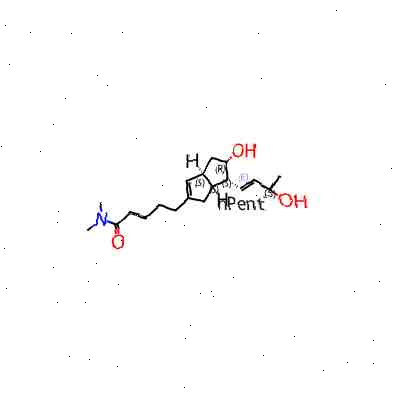 CCCCC[C@](C)(O)/C=C/[C@@H]1[C@H]2CC(CCCCC(=O)N(C)C)=C[C@H]2C[C@H]1O